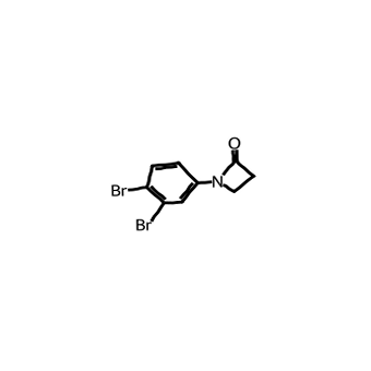 O=C1CCN1c1ccc(Br)c(Br)c1